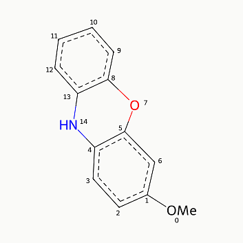 COc1ccc2c(c1)Oc1ccccc1N2